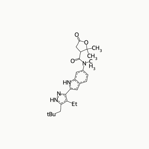 CCc1c(-c2cc3ccc(N(C)C(=O)C4CC(=O)OC4(C)C)cc3[nH]2)n[nH]c1CC(C)(C)C